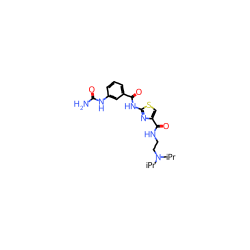 CC(C)N(CCNC(=O)c1csc(NC(=O)c2cccc(NC(N)=O)c2)n1)C(C)C